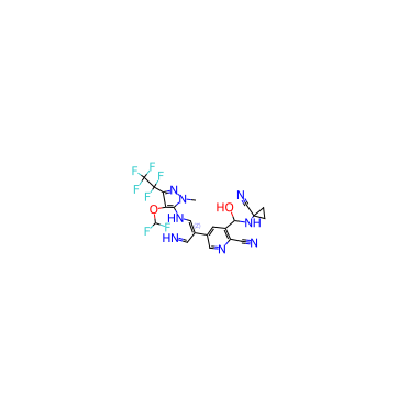 Cn1nc(C(F)(F)C(F)(F)F)c(OC(F)F)c1N/C=C(\C=N)c1cnc(C#N)c(C(O)NC2(C#N)CC2)c1